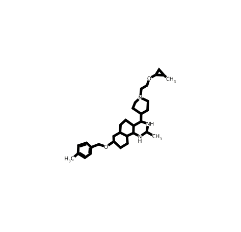 Cc1ccc(COC2CCC3C(CCC4C(C5CCN(CCOC6CC6C)CC5)NC(C)NC34)C2)cc1